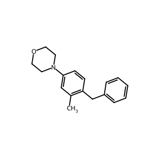 Cc1cc(N2CCOCC2)ccc1Cc1ccccc1